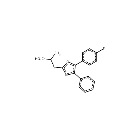 CC(Sc1nc(-c2ccccc2)c(-c2ccc(F)cc2)o1)C(=O)O